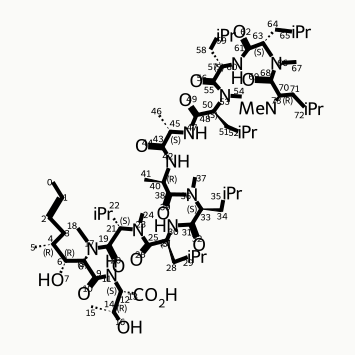 CC=CC[C@@H](C)[C@@H](O)[C@@H](C(=O)N[C@H](C(=O)O)[C@@H](C)O)N(C)C(=O)[C@H](C(C)C)N(C)C(=O)[C@H](CC(C)C)NC(=O)[C@H](CC(C)C)N(C)C(=O)[C@@H](C)NC(=O)[C@H](C)NC(=O)[C@H](CC(C)C)N(C)C(=O)[C@H](CC(C)C)NC(=O)[C@H](CC(C)C)N(C)C(=O)[C@@H](CC(C)C)NC